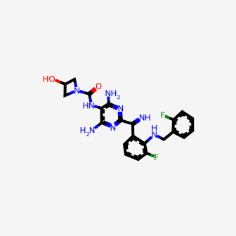 N=C(c1nc(N)c(NC(=O)N2CC(O)C2)c(N)n1)c1cccc(F)c1NCc1ccccc1F